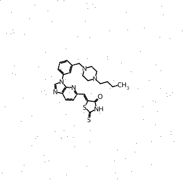 CCCCN1CCN(Cc2cccc(-n3cnc4ccc(/C=C5\SC(=S)NC5=O)nc43)c2)CC1